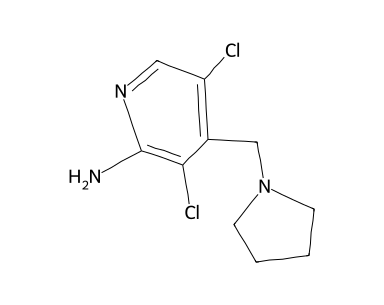 Nc1ncc(Cl)c(CN2CCCC2)c1Cl